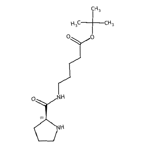 CC(C)(C)OC(=O)CCCCNC(=O)[C@@H]1CCCN1